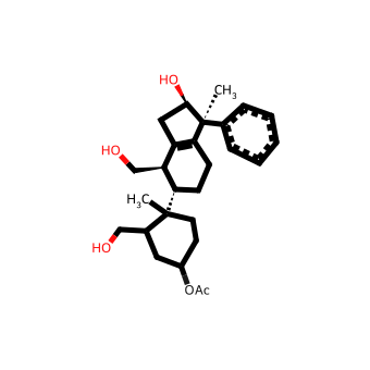 CC(=O)OC1CCC(C)([C@H]2CCC3=C(C[C@@H](O)[C@@]3(C)c3ccccc3)[C@@H]2CO)C(CO)C1